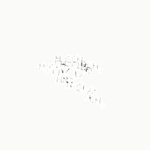 COC(=O)c1ccc(-c2n[nH]c(-c3cc(C(C)(C)C)cc(C(C)(C)C)c3)c2-c2ccc(S(C)(=O)=O)cc2)cc1